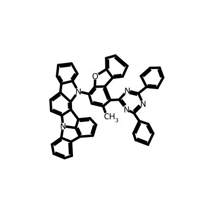 Cc1cc(-n2c3ccccc3c3ccc4c(c5cccc6c7ccccc7n4c65)c32)c2oc3ccccc3c2c1-c1nc(-c2ccccc2)nc(-c2ccccc2)n1